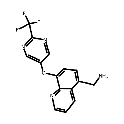 NCc1ccc(Oc2cnc(C(F)(F)F)nc2)c2ncccc12